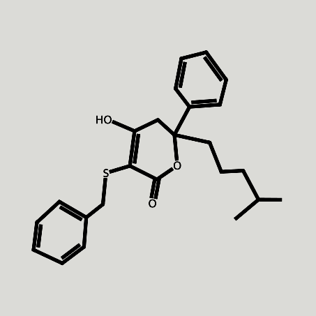 CC(C)CCCC1(c2ccccc2)CC(O)=C(SCc2ccccc2)C(=O)O1